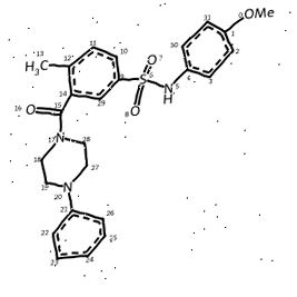 COc1ccc(NS(=O)(=O)c2ccc(C)c(C(=O)N3CCN(c4ccccc4)CC3)c2)cc1